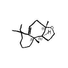 CC1(C)CCC[C@]2(C)C1=CC[C@]1(C)OCC[C@H]12